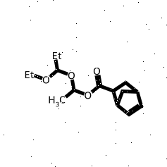 CCOC(CC)OC(C)OC(=O)C1CC2C=CC1C2